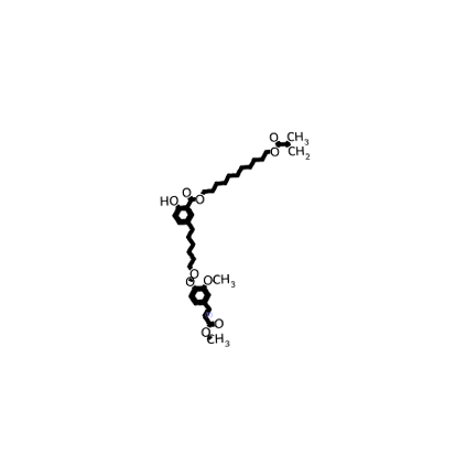 C=C(C)C(=O)OCCCCCCCCCCCOC(=O)c1cc(CCCCCCOOc2ccc(/C=C/C(=O)OC)cc2OC)ccc1O